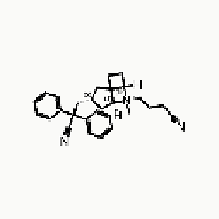 C[N+]1(CCCC#N)[C@H]2CCC23C[C@@H](CC(C#N)(c2ccccc2)c2ccccc2)C[C@@H]31